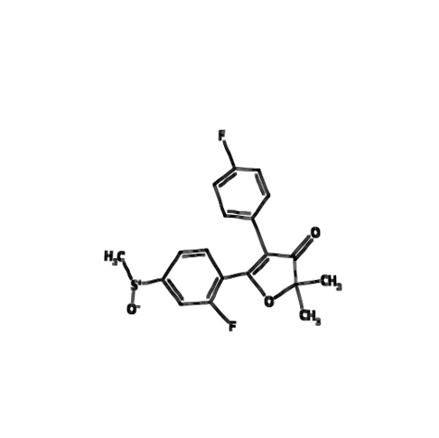 C[S+]([O-])c1ccc(C2=C(c3ccc(F)cc3)C(=O)C(C)(C)O2)c(F)c1